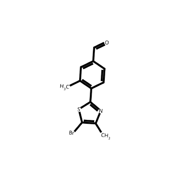 Cc1cc(C=O)ccc1-c1nc(C)c(Br)s1